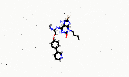 CCCCn1c(=O)[nH]/c(=N\C(COc2ccc(-c3cccnc3)cc2)=N/C)c2[nH]c(Br)nc21